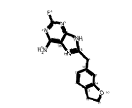 Nc1nc(F)nc2[nH]c(Cc3ccc4c(c3)OCC4)nc12